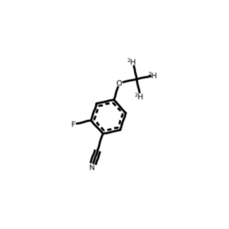 [2H]C([2H])([2H])Oc1ccc(C#N)c(F)c1